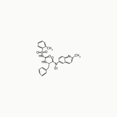 CCN(C(=O)C(Cc1ccccc1)NC(=O)NS(=O)(=O)c1ccccc1C)c1ccc2nc(C)ccc2c1